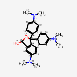 CN(C)C1=CCC(C2(c3ccc(N(C)C)cc3)OC(O)c3cc(N(C)C)ccc32)C=C1